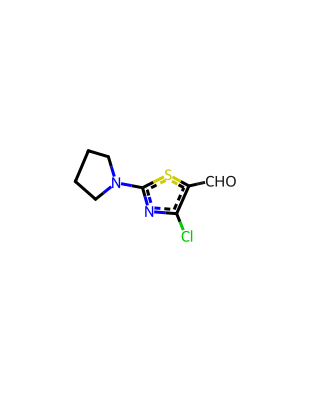 O=Cc1sc(N2CCCC2)nc1Cl